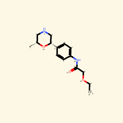 C[C@@H]1CNC[C@H](c2ccc(NC(=O)COCC(F)(F)F)cc2)O1